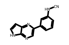 N#CNc1cccc(-c2cnc3[nH]ccc3n2)c1